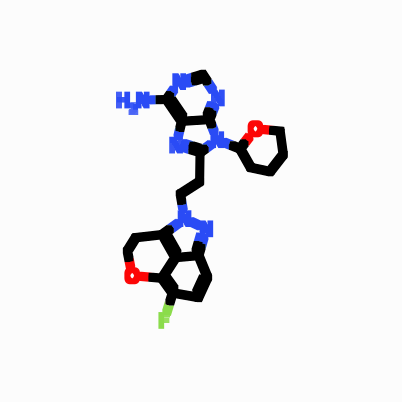 Nc1ncnc2c1nc(CCn1nc3ccc(F)c4c3c1CCO4)n2C1CCCCO1